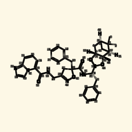 CC1(C)[C@@H]2C[C@H]3OB([C@H](Cc4ccccc4)NC(=O)C4(Cc5ccccc5)CC(CNC(=O)c5cccc6nccn56)=NO4)O[C@@]3(C)[C@H]1C2